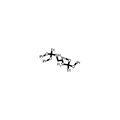 CCC(OC(C)C)(OC(C)C)[SiH2]CC[SiH2]C(CC)(OC(C)C)OC(C)C